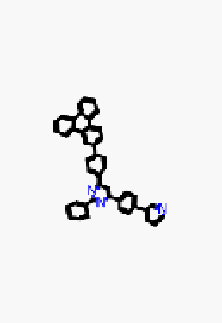 c1ccc(-c2nc(-c3ccc(-c4cccnc4)cc3)cc(-c3ccc(-c4ccc5c6ccccc6c6ccccc6c5c4)cc3)n2)cc1